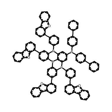 c1ccc(-c2ccc(N(c3ccc(-c4ccccc4)cc3)c3cc4c5c(c3)N(c3cccc(-c6cccc7c6oc6ccccc67)c3)c3cc(-c6cccc7c6oc6ccccc67)ccc3B5c3ccc(-c5cccc6c5oc5ccccc56)cc3N4c3cccc(-c4cccc5c4oc4ccccc45)c3)cc2)cc1